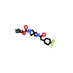 CC(C)(C)OC(=O)N1CC2(CN(C(=O)CC3CCC(F)(F)CC3)C2)C1